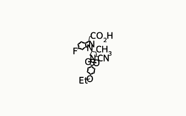 CCOc1ccc(S(=O)(=O)N2C[C@H](n3nc(CC(=O)O)c4ccc(F)cc43)[C@@H](C)[C@H]2C#N)cc1